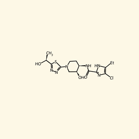 CCc1[nH]c(C(=O)N[C@@H]2CCN(c3nnc([C@H](C)O)s3)C[C@@H]2O)nc1Cl